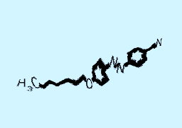 CCCCCCCOc1ccc(/N=N/c2ccc(C#N)cc2)cc1